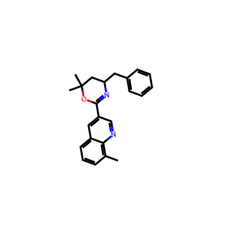 Cc1cccc2cc(C3=NC(Cc4ccccc4)CC(C)(C)O3)cnc12